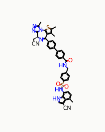 Cc1sc2c(c1C)C(c1ccc(-c3ccc(C(=O)NCc4ccc(S(=O)(=O)Nc5ccc(C)c6c(C#N)c[nH]c56)cc4)cc3)cc1)=N[C@@H](CC#N)c1nnc(C)n1-2